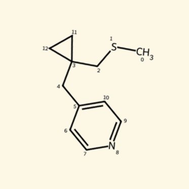 CSCC1(Cc2ccncc2)CC1